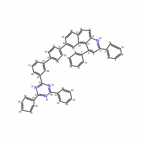 c1ccc(-c2cc(-c3ccccc3)c3c(ccc4ccc(-c5ccc(-c6cccc(-c7nc(-c8ccccc8)nc(-c8ccccc8)n7)c6)cc5)cc43)n2)cc1